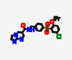 CC(C)Oc1ccc(Cl)cc1S(=O)(=O)c1ccc(CNC(=O)c2cnc3nccn3c2)cc1